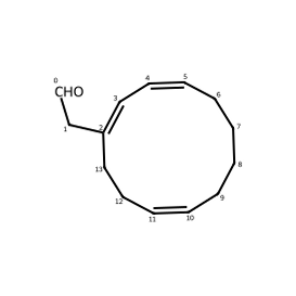 O=CCC1=CC=CCCCCC=CCC1